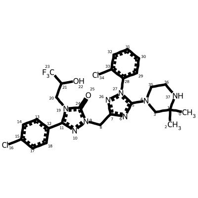 CC1(C)CN(c2nc(Cn3nc(-c4ccc(Cl)cc4)n(CC(O)C(F)(F)F)c3=O)nn2-c2ccccc2Cl)CCN1